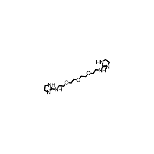 C1CNC(NCCOCCOCCOCCNC2=NCCN2)=N1